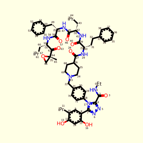 CCNC(=O)c1nnc(-c2cc(C(C)C)c(O)cc2O)n1-c1ccc(CN2CCC(C(=O)N[C@@H](CCc3ccccc3)C(=O)N[C@@H](CC(C)C)C(=O)N[C@@H](Cc3ccccc3)C(=O)N[C@@H](CC(C)C)C(=O)[C@]3(C)CO3)CC2)cc1